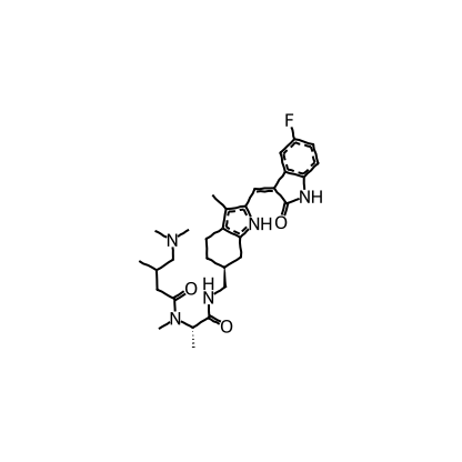 Cc1c(/C=C2\C(=O)Nc3ccc(F)cc32)[nH]c2c1CC[C@H](CNC(=O)[C@H](C)N(C)C(=O)CC(C)CN(C)C)C2